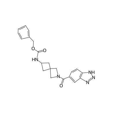 O=C(NC1CC2(C1)CN(C(=O)c1ccc3[nH]nnc3c1)C2)OCc1ccccc1